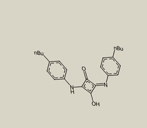 CCCCc1ccc(/N=c2/c(O)c(Nc3ccc(CCCC)cc3)c2=O)cc1